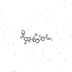 COc1cc(C(=O)N2CC3CCC2C3)cc2nc(-c3cc4ccc(-c5ccc(C(N)=O)cc5F)nc4n3CC3CC3)n(C)c12